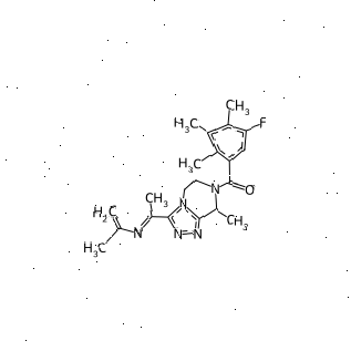 C=C(C)/N=C(\C)c1nnc2n1CCN(C(=O)c1cc(F)c(C)c(C)c1C)C2C